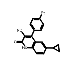 CCc1ccc(-c2c(C#N)c(=O)[nH]c3ccc(C4CC4)cc23)cc1